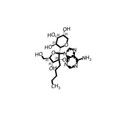 CCCCC[C@@]1(O)[C@H](O)[C@@H](CO)O[C@@]1(C1OC[C@@H](O)[C@@H](O)[C@@H]1O)n1cnc2c(N)ncnc21